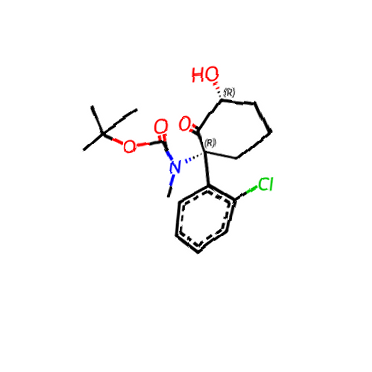 CN(C(=O)OC(C)(C)C)[C@@]1(c2ccccc2Cl)CCC[C@@H](O)C1=O